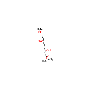 CCC(O)C=CC=CCC(O)C=CC=CC=CC(O)CCCC(=O)OC(C)C